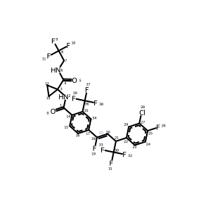 O=C(NC1(C(=O)NCC(F)(F)F)CC1)c1ccc(/C(F)=C/C(c2ccc(F)c(Cl)c2)C(F)(F)F)cc1C(F)(F)F